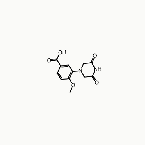 COc1ccc(C(=O)O)cc1N1CC(=O)NC(=O)C1